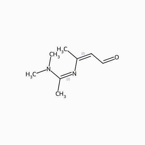 CC(=C/C=O)/N=C(/C)N(C)C